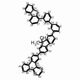 CC1(C)c2cc(-c3cccc(-c4cccc(-c5cccc6c5sc5ccccc56)c4)c3)ccc2-c2ccc(-c3ccc4c5ccccc5c5nccnc5c4c3)cc21